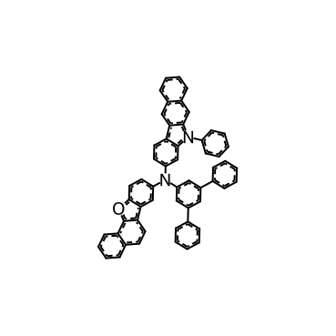 c1ccc(-c2cc(-c3ccccc3)cc(N(c3ccc4oc5c6ccccc6ccc5c4c3)c3ccc4c5cc6ccccc6cc5n(-c5ccccc5)c4c3)c2)cc1